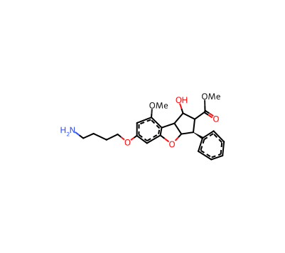 COC(=O)C1C(O)C2c3c(OC)cc(OCCCCN)cc3OC2[C@@H]1c1ccccc1